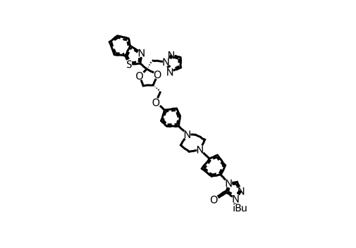 CCC(C)n1ncn(-c2ccc(N3CCN(c4ccc(OC[C@@H]5CO[C@@](Cn6nccn6)(c6nc7ccccc7s6)O5)cc4)CC3)cc2)c1=O